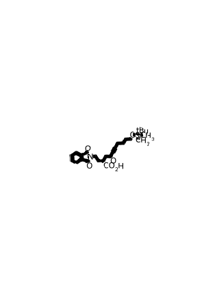 CC(C)(C)[Si](C)(C)OCCCCC#CC(=O)CC(CCN1C(=O)c2ccccc2C1=O)C(=O)O